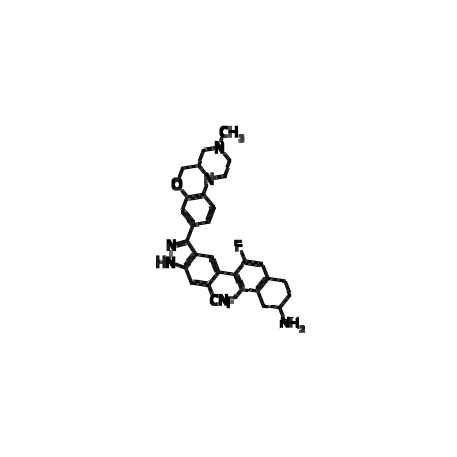 CN1CCN2c3ccc(-c4n[nH]c5cc(C#N)c(-c6c(F)cc7c(c6F)CC(N)CC7)cc45)cc3OCC2C1